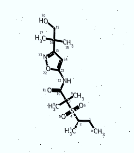 CC[C@@H](C)S(=O)(=O)C(C)(C)C(=O)Nc1cc(C(C)(C)CO)no1